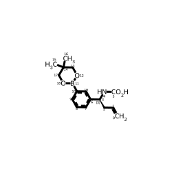 C=CC[C@H](NC(=O)O)c1cccc(B2OCC(C)(C)CO2)c1